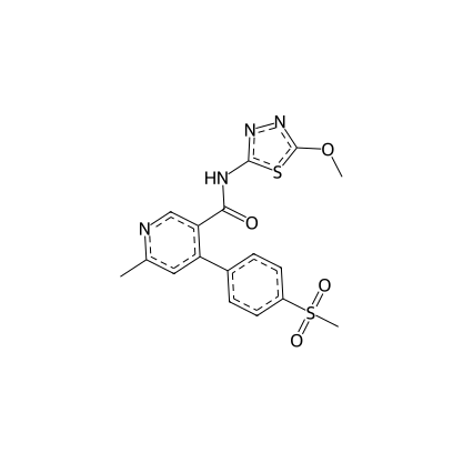 COc1nnc(NC(=O)c2cnc(C)cc2-c2ccc(S(C)(=O)=O)cc2)s1